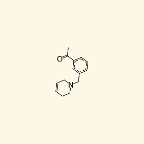 CC(=O)c1cccc(CN2CC=CCC2)c1